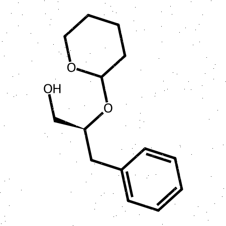 OC[C@H](Cc1ccccc1)OC1CCCCO1